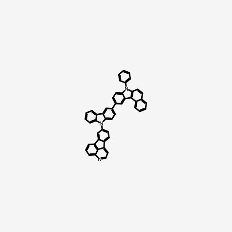 c1ccc(-n2c3ccc(-c4ccc5c(c4)c4ccccc4n5-c4ccc5c(c4)-c4cccc6nccc-5c46)cc3c3c4ccccc4ccc32)cc1